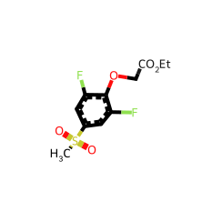 CCOC(=O)COc1c(F)cc(S(C)(=O)=O)cc1F